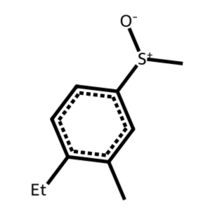 CCc1ccc([S+](C)[O-])cc1C